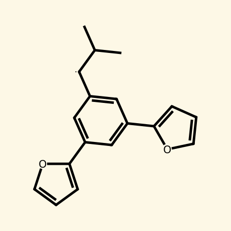 CC(C)[CH]c1cc(-c2ccco2)cc(-c2ccco2)c1